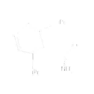 CC(C)c1cccc(C(C)C)c1[S+](N)[O-]